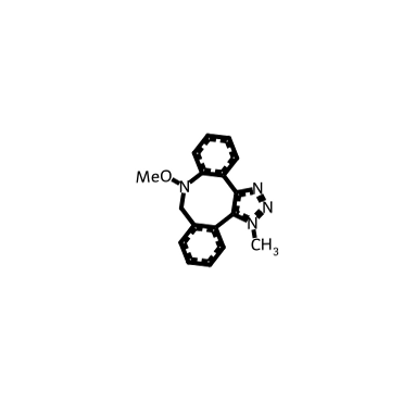 CON1Cc2ccccc2-c2c(nnn2C)-c2ccccc21